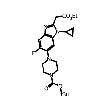 CCOC(=O)Cc1nc2cc(F)c(N3CCN(C(=O)OC(C)(C)C)CC3)cc2n1C1CC1